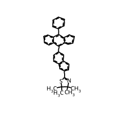 CC1(C)N=C(c2ccc3cc(-c4c5ccccc5c(-c5ccccc5)c5ccccc45)ccc3c2)SC1(C)C